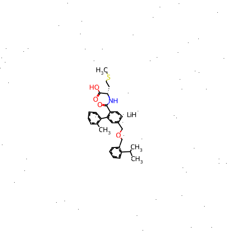 CSCC[C@H](NC(=O)c1ccc(COCc2ccccc2C(C)C)cc1-c1ccccc1C)C(=O)O.[LiH]